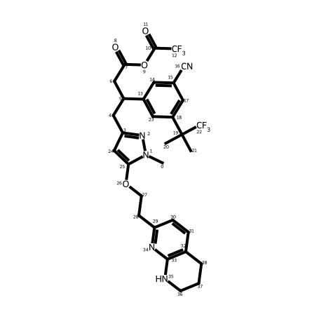 Cn1nc(CC(CC(=O)OC(=O)C(F)(F)F)c2cc(C#N)cc(C(C)(C)C(F)(F)F)c2)cc1OCCc1ccc2c(n1)NCCC2